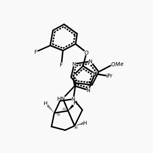 COc1cc(N2C[C@H]3CC[C@@H](C2)[C@@H]3Nc2nc(Oc3cccc(F)c3F)n(C(C)C)n2)cnn1